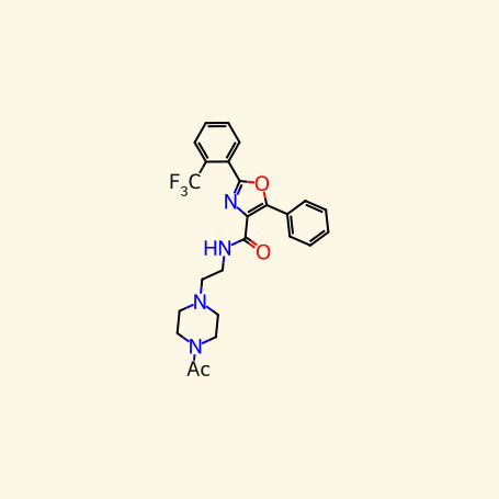 CC(=O)N1CCN(CCNC(=O)c2nc(-c3ccccc3C(F)(F)F)oc2-c2ccccc2)CC1